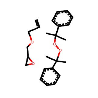 C=CCOCC1CO1.CC(C)(OOC(C)(C)c1ccccc1)c1ccccc1